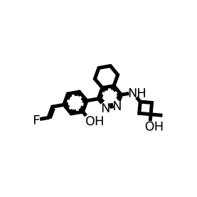 CC1(O)CC(Nc2nnc(-c3ccc(/C=C/F)cc3O)c3c2CCCC3)C1